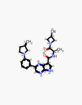 C=C1CCN(c2cccc(-c3cnc4[nH]cc(C(=O)N[C@H](C)C(=O)N5CC(C#N)C5)c4n3)c2)C1